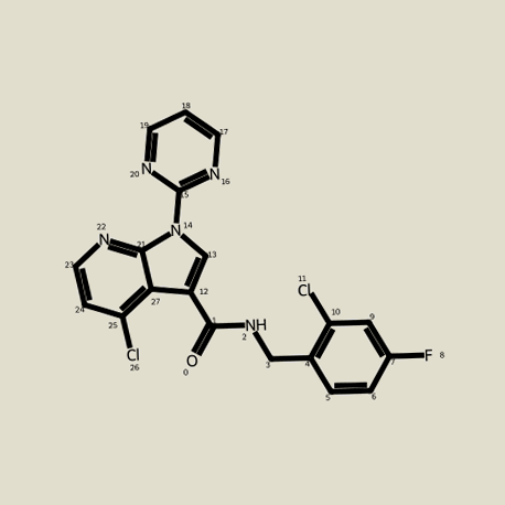 O=C(NCc1ccc(F)cc1Cl)c1cn(-c2ncccn2)c2nccc(Cl)c12